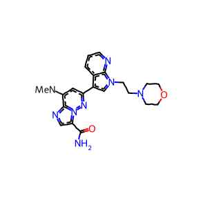 CNc1cc(-c2cn(CCN3CCOCC3)c3ncccc23)nn2c(C(N)=O)cnc12